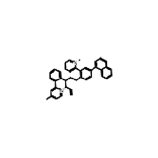 C=CC1C(CCc2ccc(-c3cccc4ccccc34)cc2-c2cccc[n+]2C)c2ccccc2-c2cc(C)cc[n+]21